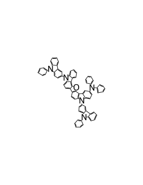 c1ccc(N(c2ccccc2)c2ccc3c(c2)c2c4oc5c(ccc6c5c5ccccc5n6-c5ccc6c(c5)c5ccccc5n6-c5ccccc5)c4ccc2n3-c2ccc3c(c2)c2ccccc2n3-c2ccccc2)cc1